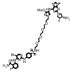 COc1nn(CCOCCOCCOCCOCCNS(=O)(=O)c2ccc(Nc3ncc(Br)c(Nc4cccc(F)c4C(N)=O)n3)cc2)cc1Nc1nc(N2C[C@@H](N)[C@H](F)C2)nc2c1ncn2C